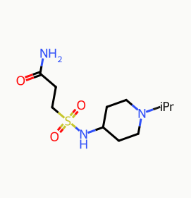 CC(C)N1CCC(NS(=O)(=O)CCC(N)=O)CC1